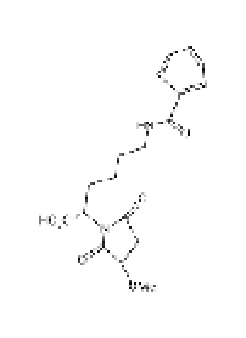 COC1CC(=O)N([C@@H](CCCCNC(=O)c2ccccc2)C(=O)O)C1=O